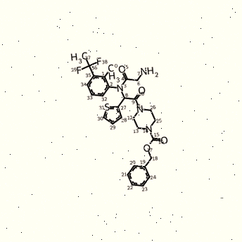 Cc1c(N(C(=O)CN)C(C(=O)N2CCN(C(=O)OCc3ccccc3)CC2)c2cccs2)cccc1C(C)(F)F